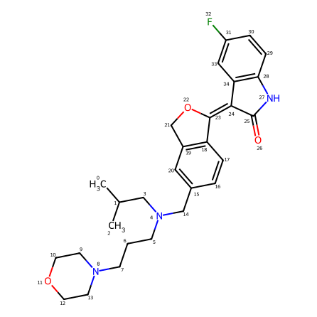 CC(C)CN(CCCN1CCOCC1)Cc1ccc2c(c1)COC2=C1C(=O)Nc2ccc(F)cc21